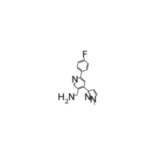 Cn1ccc(-c2cc(-c3ccc(F)cc3)ncc2CN)n1